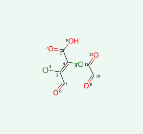 O=CC(Cl)=C(Cl)C(=O)O.O=CC=O